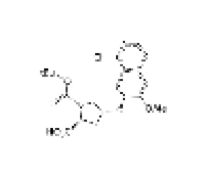 COc1cc2ccnc(Cl)c2cc1O[C@@H]1C[C@@H](C(=O)O)N(C(=O)OC(C)(C)C)C1